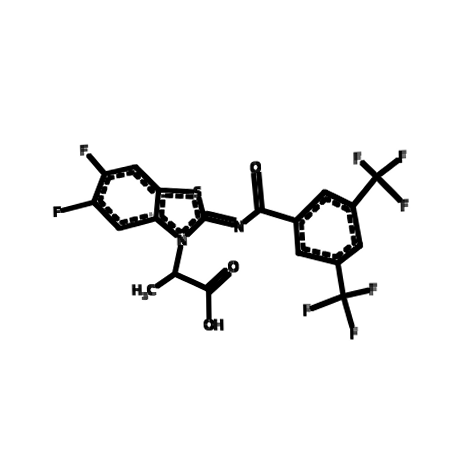 CC(C(=O)O)n1/c(=N/C(=O)c2cc(C(F)(F)F)cc(C(F)(F)F)c2)sc2cc(F)c(F)cc21